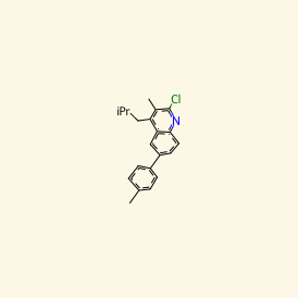 Cc1ccc(-c2ccc3nc(Cl)c(C)c(CC(C)C)c3c2)cc1